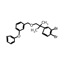 CC(C)(COCc1cccc(Oc2ccccc2)c1)c1ccc(Br)c(Br)c1